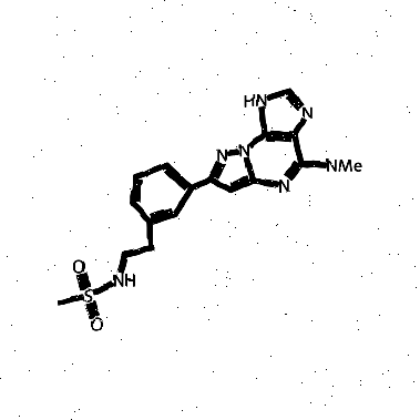 CNc1nc2cc(-c3cccc(CCNS(C)(=O)=O)c3)nn2c2[nH]cnc12